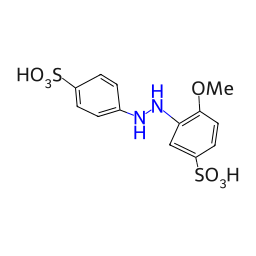 COc1ccc(S(=O)(=O)O)cc1NNc1ccc(S(=O)(=O)O)cc1